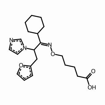 O=C(O)CCCCON=C(C1CCCCC1)C(Cc1ccco1)n1ccnc1